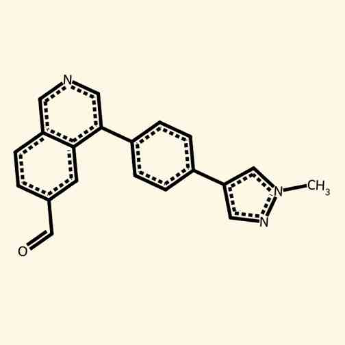 Cn1cc(-c2ccc(-c3cncc4ccc(C=O)cc34)cc2)cn1